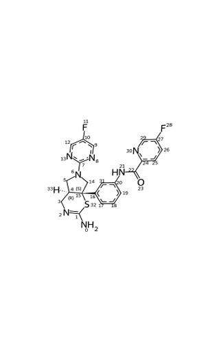 NC1=NC[C@H]2CN(c3ncc(F)cn3)C[C@]2(c2cccc(NC(=O)c3ccc(F)cn3)c2)S1